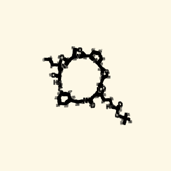 CCCc1oc2nc1C(=O)NCc1cccc(c1)CNC(=O)c1nc(oc1CCNC(=O)OC(C)(C)C)-c1coc(n1)-c1cccc(n1)-c1nc-2co1